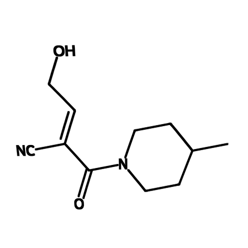 CC1CCN(C(=O)C(C#N)=CCO)CC1